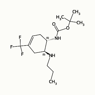 CCCN[C@H]1CC(C(F)(F)F)=CC[C@@H]1NC(=O)OC(C)(C)C